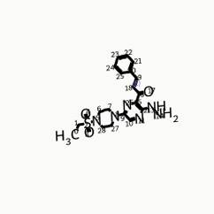 CCS(=O)(=O)N1CCN(c2cnc(NN)c(C(=O)/C=C/c3ccccc3)n2)CC1